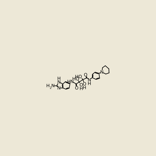 Nc1nc2ccc(NC(=O)C(O)(O)C(O)(O)C(=O)Nc3ccc(N4CCCCC4)cc3)cc2[nH]1